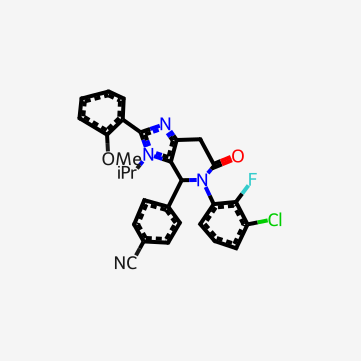 COc1ccccc1-c1nc2c(n1C(C)C)C(c1ccc(C#N)cc1)N(c1cccc(Cl)c1F)C(=O)C2